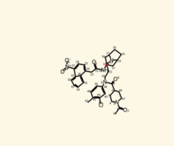 CC(=O)N1CCC(C(=O)N(CCCN2C3CCC2CC(NC(=O)Cc2ccc([N+](=O)[O-])c4ccccc24)C3)c2ccc(C)c(Cl)c2)CC1